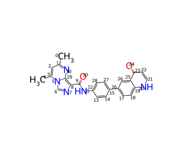 Cc1cc(C)n2cnc(C(=O)Nc3ccc(-c4ccc5[nH]ccc(=O)c5c4)cc3)c2n1